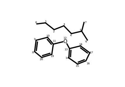 CCCCCC(C)C.c1ccc(Oc2ccccc2)cc1